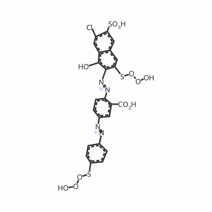 O=C(O)c1cc(/N=N/c2ccc(SOOO)cc2)ccc1/N=N/c1c(SOOO)cc2cc(S(=O)(=O)O)c(Cl)cc2c1O